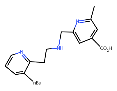 CCCCc1cccnc1CCNCc1cc(C(=O)O)cc(C)n1